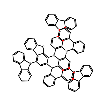 c1ccc(-c2ccccc2N2c3cc(-n4c5ccccc5c5ccccc54)ccc3B3c4c2cc(-n2c5ccccc5c5ccccc52)cc4N(c2ccccc2-c2ccccc2)c2cc(-n4c5ccccc5c5ccccc54)c4c(oc5ccccc54)c23)cc1